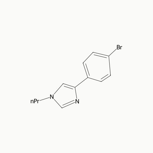 CCCn1cnc(-c2ccc(Br)cc2)c1